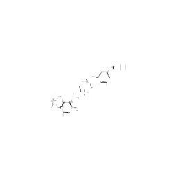 COc1cccc(CN2CCN(CCc3c(Cl)ccc4c3COCO4)CC2)c1